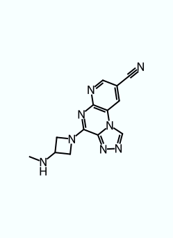 CNC1CN(c2nc3ncc(C#N)cc3n3cnnc23)C1